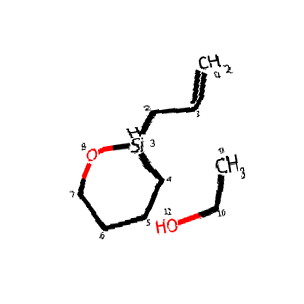 C=CC[SiH]1CCCCO1.CCO